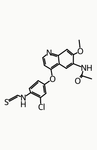 COc1cc2nccc(Oc3ccc(NC=S)c(Cl)c3)c2cc1NC(C)=O